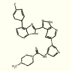 CN1CCN(C(=S)Nc2cncc(-c3cnc4[nH]nc(-c5nc6c(C7C=CC(F)=CC7)cccc6[nH]5)c4c3)c2)CC1